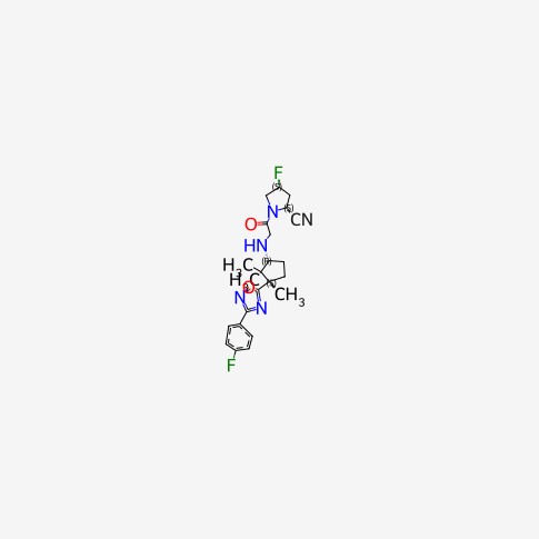 CC1(C)[C@H](NCC(=O)N2C[C@@H](F)C[C@H]2C#N)CC[C@]1(C)c1nc(-c2ccc(F)cc2)no1